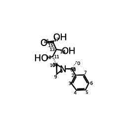 C[C@H](c1ccccc1)N1C[C@@H]1C(O)C(O)C(=O)O